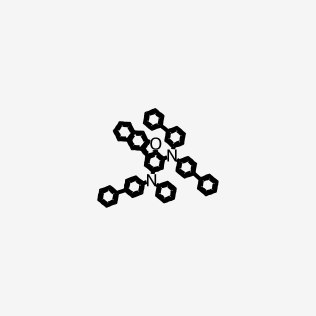 c1ccc(-c2ccc(N(c3ccccc3)c3cc(N(c4ccc(-c5ccccc5)cc4)c4cccc(-c5ccccc5)c4)c4oc5cc6ccccc6cc5c4c3)cc2)cc1